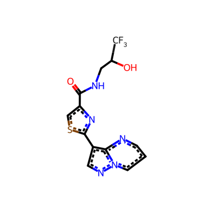 O=C(NCC(O)C(F)(F)F)c1csc(-c2cnn3cccnc23)n1